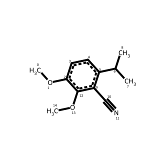 COc1ccc(C(C)C)c(C#N)c1OC